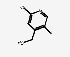 OCc1cc(Cl)ncc1F